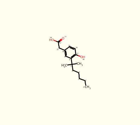 CCCCCC(C)(C)c1cc(CC(=O)O)ccc1O